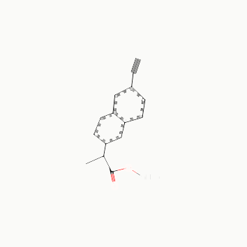 C#Cc1ccc2cc(C(C)C(=O)OCCCCCC)ccc2c1